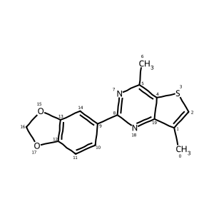 Cc1csc2c(C)nc(-c3ccc4c(c3)OCO4)nc12